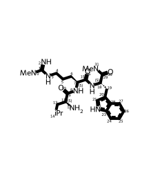 CNC(=N)NCCC[C@H](NC(=O)[C@@H](N)CC(C)C)C(=O)N[C@@H](Cc1c[nH]c2ccccc12)C(=O)NC